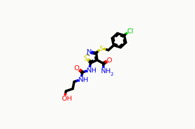 NC(=O)c1c(SCc2ccc(Cl)cc2)nsc1NC(=O)NCCCO